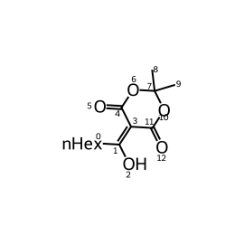 CCCCCCC(O)=C1C(=O)OC(C)(C)OC1=O